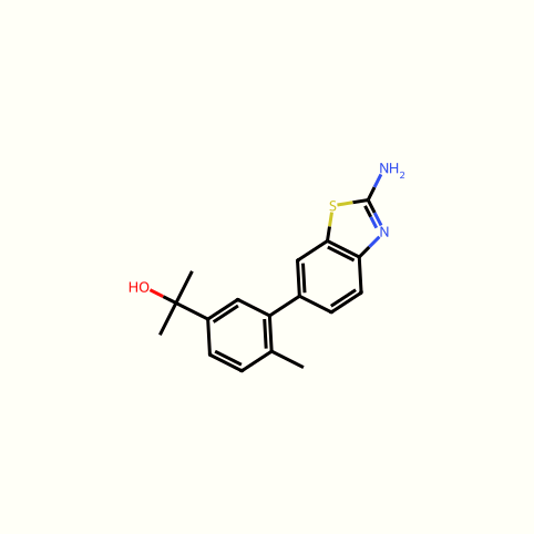 Cc1ccc(C(C)(C)O)cc1-c1ccc2nc(N)sc2c1